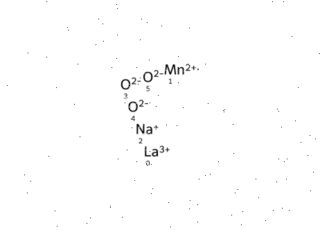 [La+3].[Mn+2].[Na+].[O-2].[O-2].[O-2]